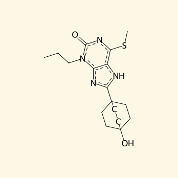 CCCn1c(=O)nc(SC)c2[nH]c(C34CCC(O)(CC3)CC4)nc21